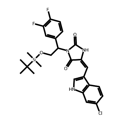 CC(C)(C)[Si](C)(C)OCC(c1ccc(F)c(F)c1)N1C(=O)NC(=Cc2c[nH]c3cc(Cl)ccc23)C1=O